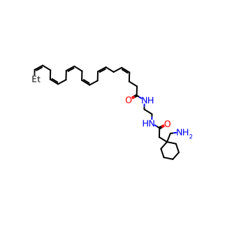 CC/C=C\C/C=C\C/C=C\C/C=C\C/C=C\C/C=C\CCC(=O)NCCNC(=O)CC1(CN)CCCCC1